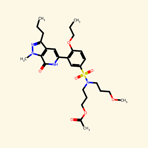 CCCOc1ccc(S(=O)(=O)N(CCCOC)CCCOC(C)=O)cc1-c1cc2c(CCC)nn(C)c2c(=O)[nH]1